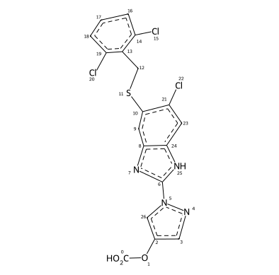 O=C(O)Oc1cnn(-c2nc3cc(SCc4c(Cl)cccc4Cl)c(Cl)cc3[nH]2)c1